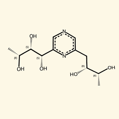 C[C@@H](O)[C@H](O)[C@@H](O)c1cncc(C[C@@H](O)[C@@H](C)O)n1